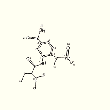 CCC(C(=O)Nc1cc(C(=O)O)ccc1C(C)[N+](=O)[O-])C(C)C